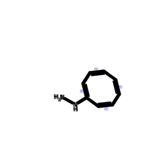 NNC1=C/C=C\C=C/C=C\1